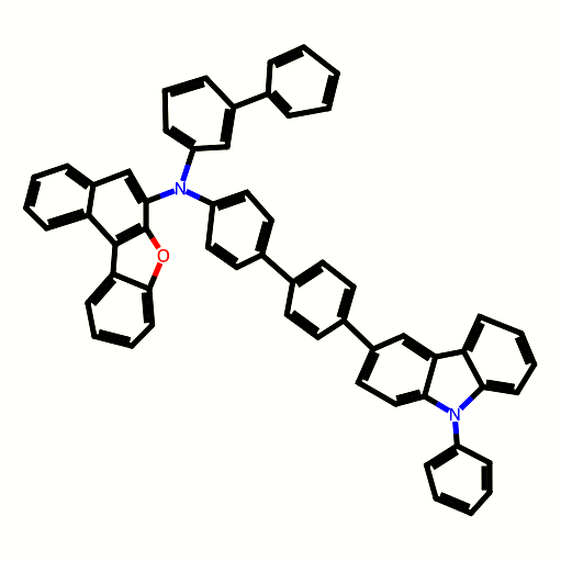 c1ccc(-c2cccc(N(c3ccc(-c4ccc(-c5ccc6c(c5)c5ccccc5n6-c5ccccc5)cc4)cc3)c3cc4ccccc4c4c3oc3ccccc34)c2)cc1